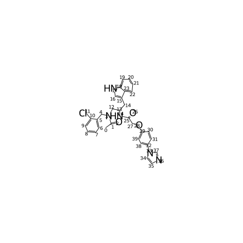 CC(=O)N(Cc1ccccc1Cl)CC(Cc1c[nH]c2ccccc12)NC(=O)COc1ccc(-n2ccnc2)cc1